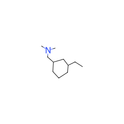 CCC1CCCC(CN(C)C)C1